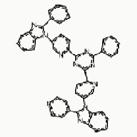 c1ccc(-c2nc(-c3ccc(-n4c(-c5ccccc5)nc5ccccc54)cn3)nc(-c3ccc(-n4c(-c5ccncc5)nc5ccccc54)cn3)n2)cc1